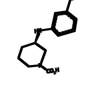 O=C(O)N1CCC[C@@H](Nc2cccc(Br)c2)C1